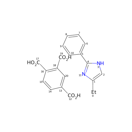 CCc1c[nH]c(-c2ccccc2)n1.O=C(O)c1ccc(C(=O)O)c(C(=O)O)c1